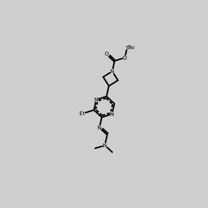 CCc1nc(C2CN(C(=O)OC(C)(C)C)C2)cnc1/N=C/N(C)C